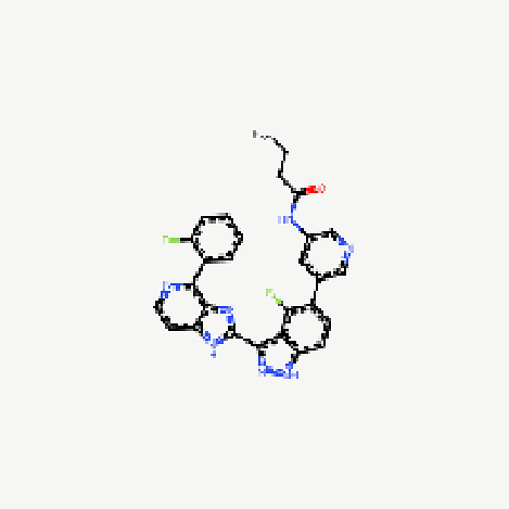 CCCC(=O)Nc1cncc(-c2ccc3[nH]nc(-c4nc5c(-c6ccccc6F)nccc5[nH]4)c3c2F)c1